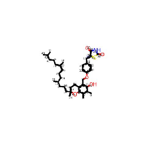 Cc1c(C)c2c(c(COc3ccc(/C=C4\SC(=O)NC4=O)cc3)c1O)CCC(C)(CCCC(C)CCCC(C)CCCC(C)C)O2